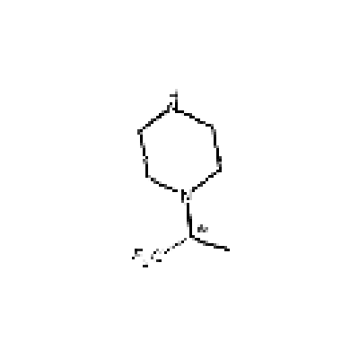 C[C@@H](N1CCNCC1)C(F)(F)F